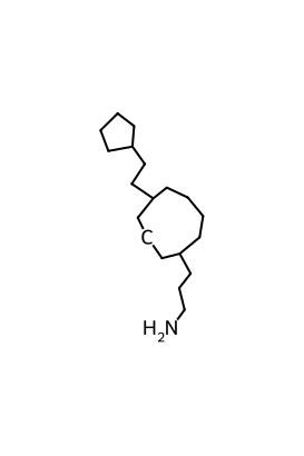 NCCCC1CCCCC(CCC2CCCC2)CCC1